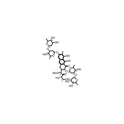 CO[C@H](C(=O)[C@@H](O)[C@@H](C)O)C1Cc2cc3cc(O[C@H]4CC(O[C@H]5CC(O)[C@H](O)C(C)O5)[C@H](O)C(C)O4)c(C)c(O)c3c(O)c2C(=O)[C@H]1O[C@H]1C[C@@H](O[C@H]2C[C@@H](O)[C@@H](O)C(C)O2)[C@H](O)C(C)O1